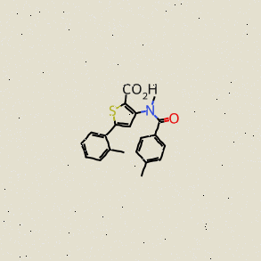 Cc1ccc(C(=O)N(C)c2cc(-c3ccccc3C)sc2C(=O)O)cc1